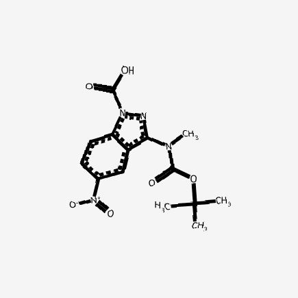 CN(C(=O)OC(C)(C)C)c1nn(C(=O)O)c2ccc([N+](=O)[O-])cc12